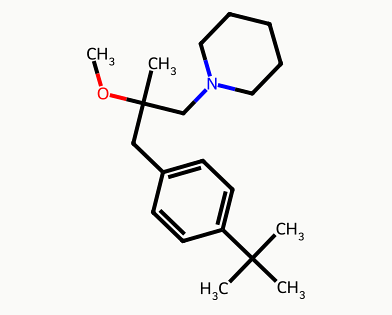 COC(C)(Cc1ccc(C(C)(C)C)cc1)CN1CCCCC1